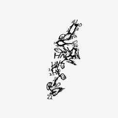 Cc1c(N2C(=O)Nc3c(C(=O)N[C@@H]4CCCN(C(=O)CCS(C)(=O)=O)C4)sc4nccc2c34)ccc(Oc2ccccc2)c1F